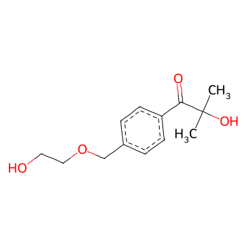 CC(C)(O)C(=O)c1ccc(COCCO)cc1